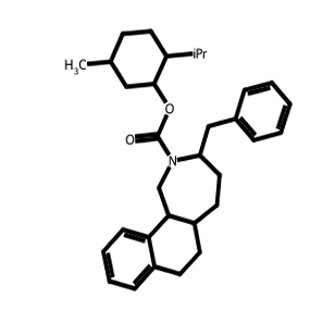 CC1CCC(C(C)C)C(OC(=O)N2CC3c4ccccc4CCC3CCC2Cc2ccccc2)C1